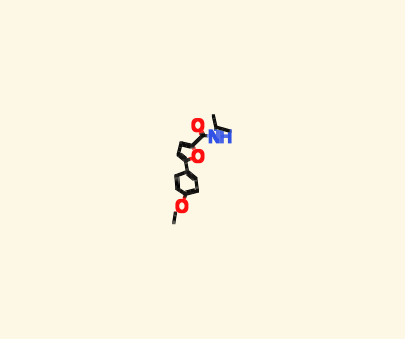 CCOc1ccc(-c2ccc(C(=O)NC(C)C)o2)cc1